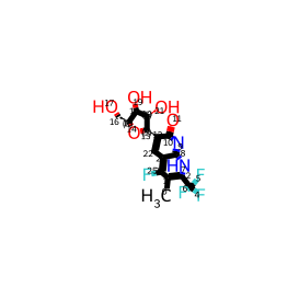 Cc1c(C(F)(F)F)[nH]c2nc(=O)c([C@@H]3O[C@H](CO)C(O)[C@@H]3O)cc-2c1F